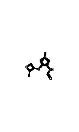 C[C@H]1OC[C@H]1Oc1nn(C)cc1NC=O